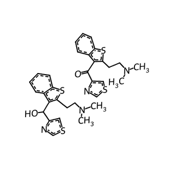 CN(C)CCc1sc2ccccc2c1C(=O)c1cscn1.CN(C)CCc1sc2ccccc2c1C(O)c1cscn1